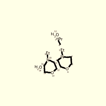 CCCC.CCN1CCOCC1.CCN1CCOCC1.O.O